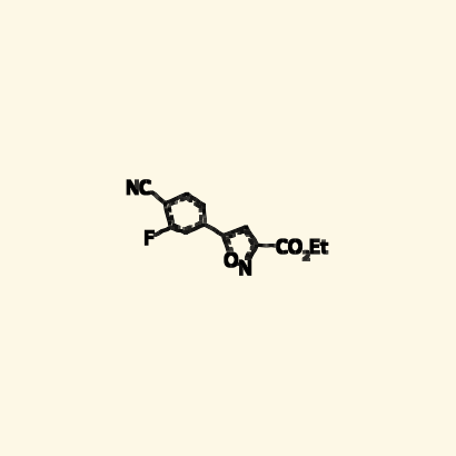 CCOC(=O)c1cc(-c2ccc(C#N)c(F)c2)on1